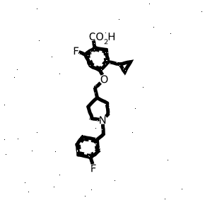 O=C(O)c1cc(C2CC2)c(OCC2CCN(Cc3cccc(F)c3)CC2)cc1F